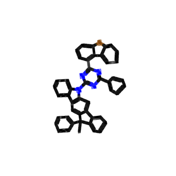 CC1(c2ccccc2)c2ccccc2-c2cc3c(cc21)c1ccccc1n3-c1nc(-c2ccccc2)nc(-c2cccc3sc4ccccc4c23)n1